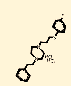 Cl.Cl.Fc1ccc(SCCCN2CCN(CCc3ccccc3)CC2)cc1